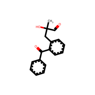 CC(O)(C=O)Cc1ccccc1C(=O)c1ccccc1